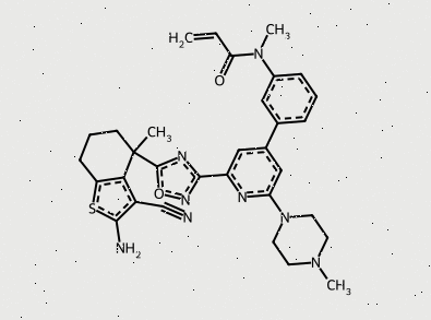 C=CC(=O)N(C)c1cccc(-c2cc(-c3noc(C4(C)CCCc5sc(N)c(C#N)c54)n3)nc(N3CCN(C)CC3)c2)c1